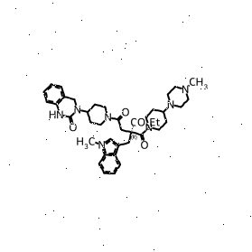 CCOC(=O)[C@@](CC(=O)N1CCC(N2Cc3ccccc3NC2=O)CC1)(Cc1cn(C)c2ccccc12)C(=O)N1CCC(N2CCN(C)CC2)CC1